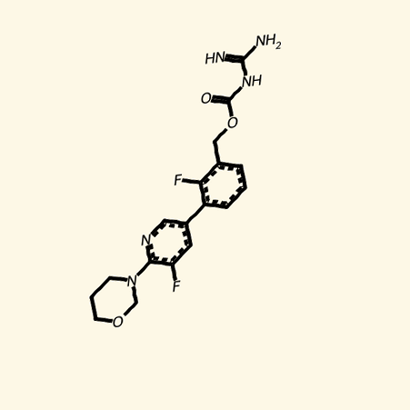 N=C(N)NC(=O)OCc1cccc(-c2cnc(N3CCCOC3)c(F)c2)c1F